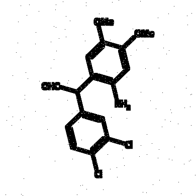 COc1cc(N)c(C(C=O)c2ccc(Cl)c(Cl)c2)cc1OC